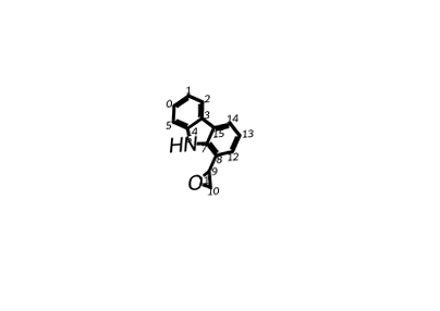 c1ccc2c(c1)[nH]c1c(C3CO3)cccc12